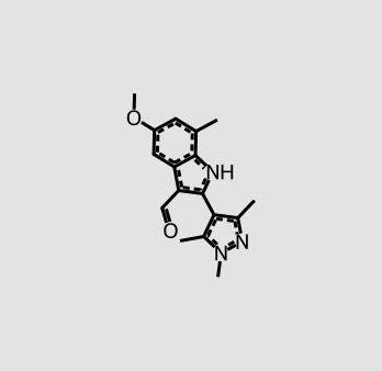 COc1cc(C)c2[nH]c(-c3c(C)nn(C)c3C)c(C=O)c2c1